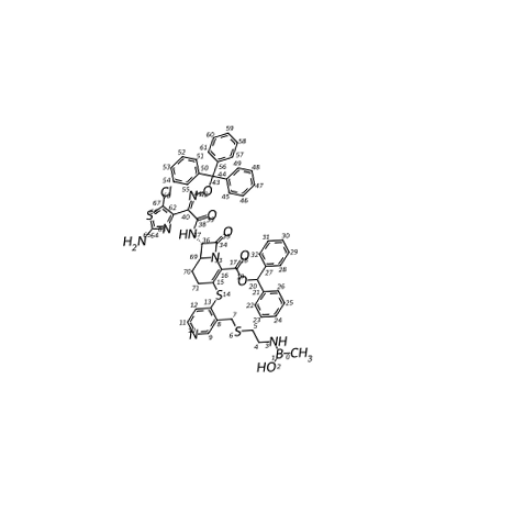 CB(O)NCCSCc1cnccc1SC1=C(C(=O)OC(c2ccccc2)c2ccccc2)N2C(=O)[C@@H](NC(=O)/C(=N\OC(c3ccccc3)(c3ccccc3)c3ccccc3)c3nc(N)sc3Cl)C2CC1